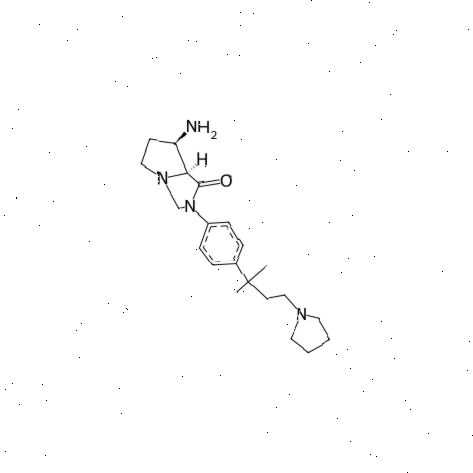 CC(C)(CCN1CCCC1)c1ccc(N2CN3CC[C@@H](N)[C@H]3C2=O)cc1